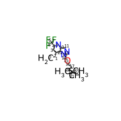 C=Cc1cc(C(F)(F)F)nc2cnn(COCC[Si](C)(C)C)c12